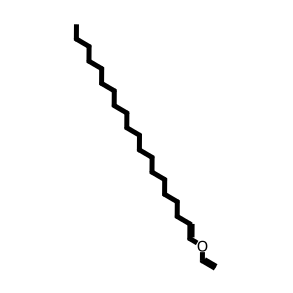 C=COC=CCCCCCCCCCCCCCCCCCC